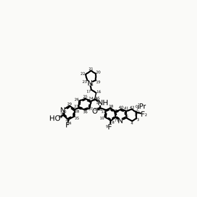 CC(C)[C@]1(F)CCc2nc3c(F)cc(C(=O)N[C@H](CCN4CCCCC4)c4ccc(-c5cnc(O)c(F)c5)cc4)cc3cc2C1